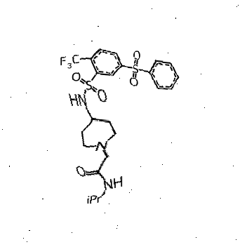 CC(C)NC(=O)CN1CCC(NS(=O)(=O)c2cc(S(=O)(=O)c3ccccc3)ccc2C(F)(F)F)CC1